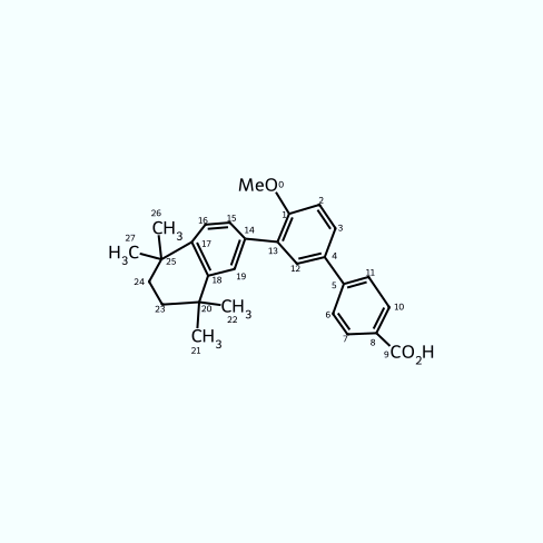 COc1ccc(-c2ccc(C(=O)O)cc2)cc1-c1ccc2c(c1)C(C)(C)CCC2(C)C